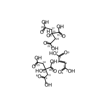 O=C(O)C=CC(=O)O.O=C(O)CC(O)(CC(=O)O)C(=O)O.O=C(O)CC(O)(CC(=O)O)C(=O)O